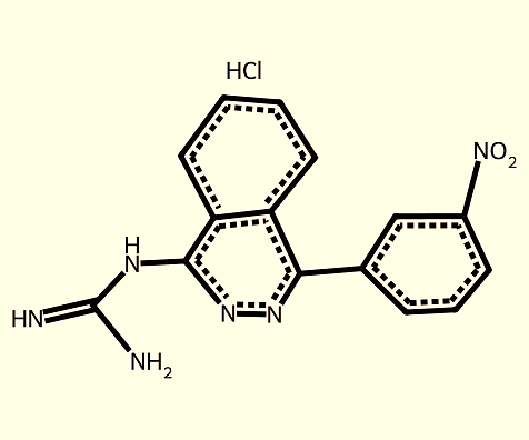 Cl.N=C(N)Nc1nnc(-c2cccc([N+](=O)[O-])c2)c2ccccc12